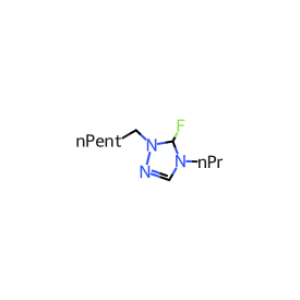 CCCCCCN1N=CN(CCC)C1F